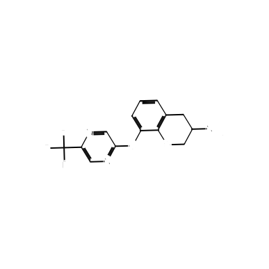 NC1COc2c(cccc2Oc2cnc(C(F)(F)F)cn2)C1